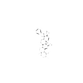 CC1CCC2(C)CCC3(C)C(=CC(=O)C4C5(C)C=CC(=O)C(C)(C(=O)c6ccccc6)C5CCC43C)C2C1C